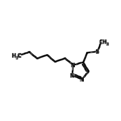 CCCCCCn1nncc1CSC